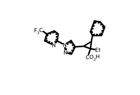 CCC1(C(=O)O)C(c2ccccc2)C1c1cnn(-c2ccc(C(F)(F)F)cn2)c1